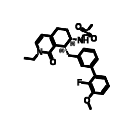 CCn1ccc2c(c1=O)[C@@H](Cc1cccc(-c3cccc(OC)c3F)c1)[C@@H](NS(C)(=O)=O)CC2